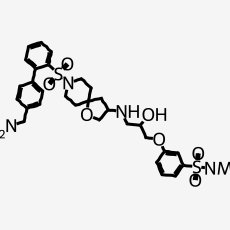 CNS(=O)(=O)c1cccc(OCC(O)CNC2COC3(CCN(S(=O)(=O)c4ccccc4-c4ccc(CN)cc4)CC3)C2)c1